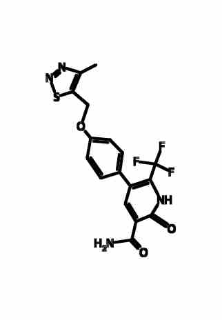 Cc1nnsc1COc1ccc(-c2cc(C(N)=O)c(=O)[nH]c2C(F)(F)F)cc1